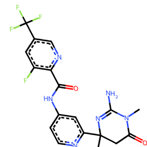 CN1C(=O)CC(C)(c2cc(NC(=O)c3ncc(C(F)(F)F)cc3F)ccn2)N=C1N